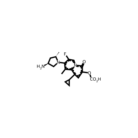 Cc1c(N2C[C@@H](N)C[C@@H]2C)c(F)cn2c(=O)c(OC(=O)O)cc(C3CC3)c12